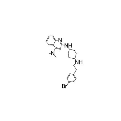 CN(C)c1cc(NC2CCC(NCCc3ccc(Br)cc3)CC2)nc2ccccc12